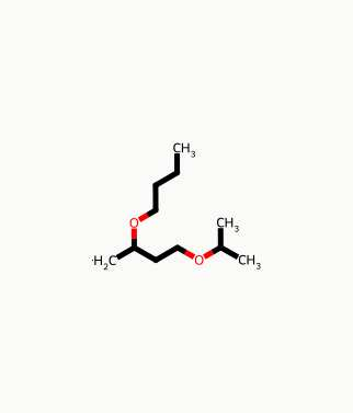 [CH2]C(CCOC(C)C)OCCCC